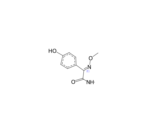 CO/N=C(/C([NH])=O)c1ccc(O)cc1